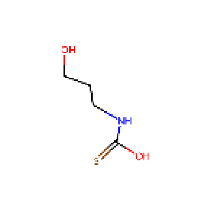 OCCCNC(O)=S